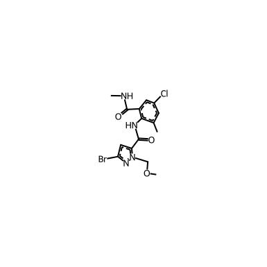 CNC(=O)c1cc(Cl)cc(C)c1NC(=O)c1cc(Br)nn1COC